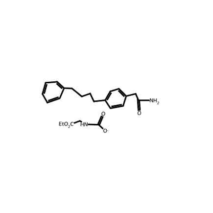 CCOC(=O)CNC([O])=O.NC(=O)Cc1ccc(CCCCc2ccccc2)cc1